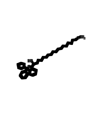 CCCCCCCCCCCCCCCCCCC[C@H](O)COC(c1ccccc1)(c1ccccc1)c1ccccc1